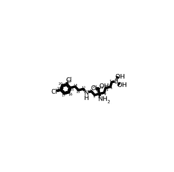 NC(CCCCB(O)O)(CCNCCCc1ccc(Cl)cc1Cl)C(=O)O